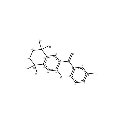 C=C(c1cccc(I)c1)c1cc2c(cc1C)C(C)(C)CCC2(C)C